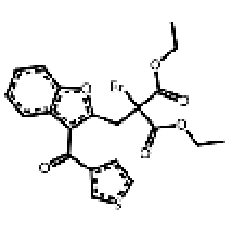 CCOC(=O)C(Br)(Cc1oc2ccccc2c1C(=O)c1ccsc1)C(=O)OCC